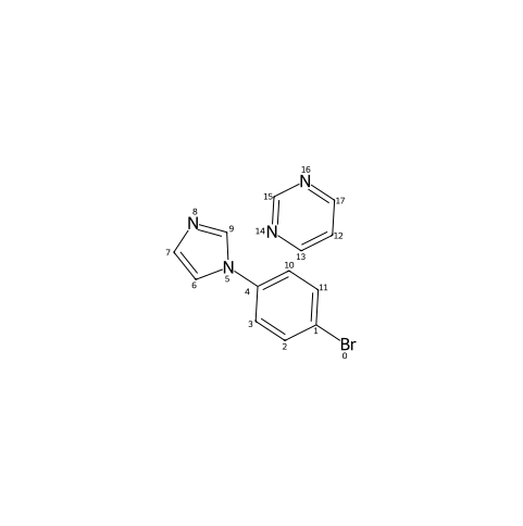 Brc1ccc(-n2ccnc2)cc1.c1cncnc1